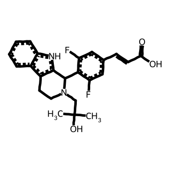 CC(C)(O)CN1CCc2c([nH]c3ccccc23)C1c1c(F)cc(/C=C/C(=O)O)cc1F